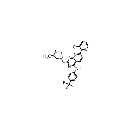 CC(C)COCc1nc(Nc2ccc(C(F)(F)F)cc2)c2ccc(-c3ncccc3Cl)nc2n1